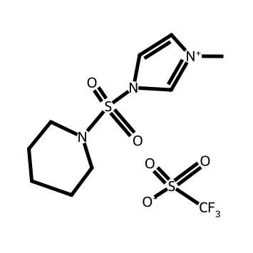 C[n+]1ccn(S(=O)(=O)N2CCCCC2)c1.O=S(=O)([O-])C(F)(F)F